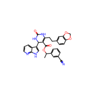 CC(OC(=O)C1=C(CCc2ccc3c(c2)OCO3)NC(=O)NC1c1c[nH]c2ncccc12)c1cccc(C#N)c1